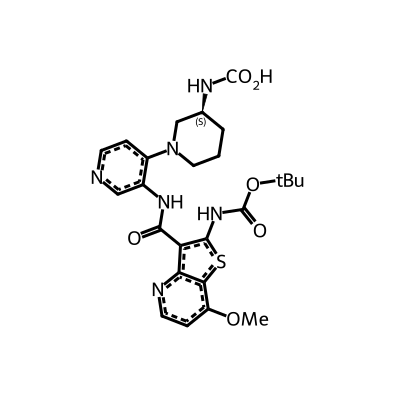 COc1ccnc2c(C(=O)Nc3cnccc3N3CCC[C@H](NC(=O)O)C3)c(NC(=O)OC(C)(C)C)sc12